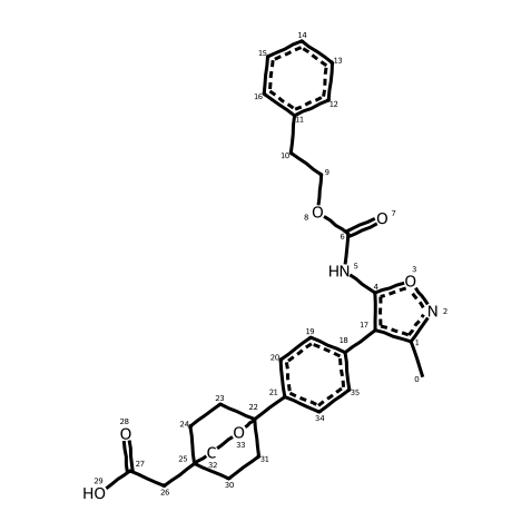 Cc1noc(NC(=O)OCCc2ccccc2)c1-c1ccc(C23CCC(CC(=O)O)(CC2)CO3)cc1